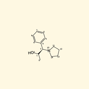 CC(O)[C@@H](c1ccccc1)N1CCCC1